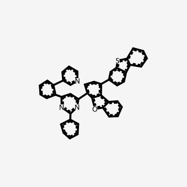 c1ccc(-c2nc(-c3ccccc3-c3cccnc3)cc(-c3ccc(-c4ccc5c(c4)sc4ccccc45)c4c3oc3ccccc34)n2)cc1